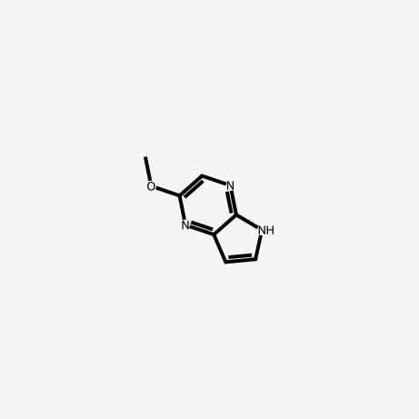 COc1cnc2[nH]ccc2n1